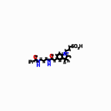 CC1=[N+](CCCS(=O)(=O)O)c2ccc(CC(=O)NCCCNC(=O)C(C)C)cc2C1(C)C